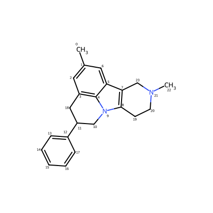 Cc1cc2c3c(c1)c1c(n3CC(c3ccccc3)C2)CCN(C)C1